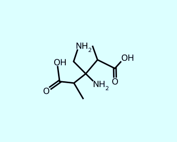 CC(C(=O)O)C(N)(CN)C(C)C(=O)O